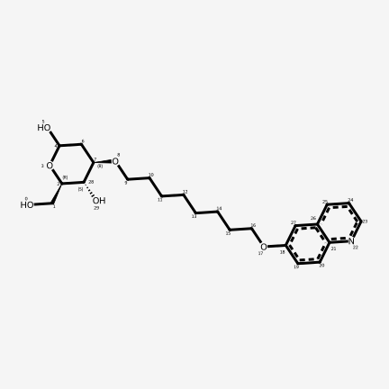 OC[C@H]1OC(O)C[C@@H](OCCCCCCCCOc2ccc3ncccc3c2)[C@@H]1O